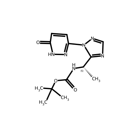 C[C@H](NC(=O)OC(C)(C)C)c1ncnn1-c1ccc(=O)[nH]n1